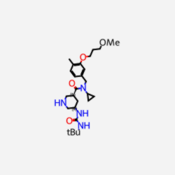 COCCCOc1cc(CN(C(=O)[C@@H]2CNC[C@H](NC(=O)NC(C)(C)C)C2)C2CC2)ccc1C